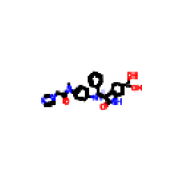 CN(C(=O)Cn1ccnc1)c1ccc(N/C(=C2\C(=O)Nc3cc(B(O)O)ccc32)c2ccccc2)cc1